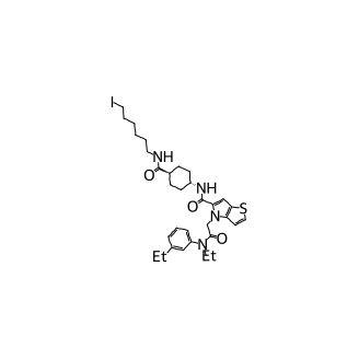 CCc1cccc(N(CC)C(=O)Cn2c(C(=O)N[C@H]3CC[C@H](C(=O)NCCCCCCI)CC3)cc3sccc32)c1